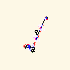 CC[C@@]1(O)C(=O)OCc2c1cc1n(c2=O)Cc2c-1nc1cc(F)c(C)c3c1c2[C@@H](NC(=O)COCNC(=O)CNC(=O)[C@@H](CCC(=O)CNC(=O)CNC(=O)CCCCCN1C(=O)C=CC1=O)Cc1ccccc1)CC3